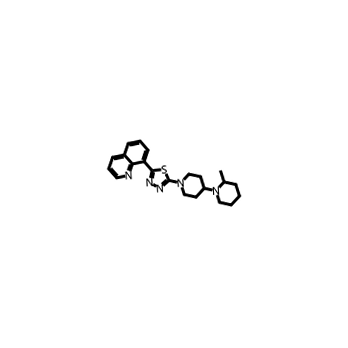 CC1CCCCN1C1CCN(c2nnc(-c3cccc4cccnc34)s2)CC1